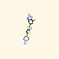 Cc1cc(-c2nc3sc(C4CCNCC4)cc3s2)cc2cn(C)nc12